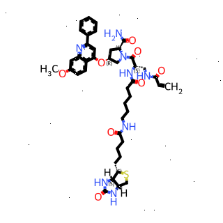 C=CC(=O)NC[C@H](NC(=O)CCCCCNC(=O)CCCC[C@@H]1SC[C@@H]2NC(=O)N[C@@H]21)C(=O)N1C[C@H](Oc2cc(-c3ccccc3)nc3cc(OC)ccc23)C[C@H]1C(N)=O